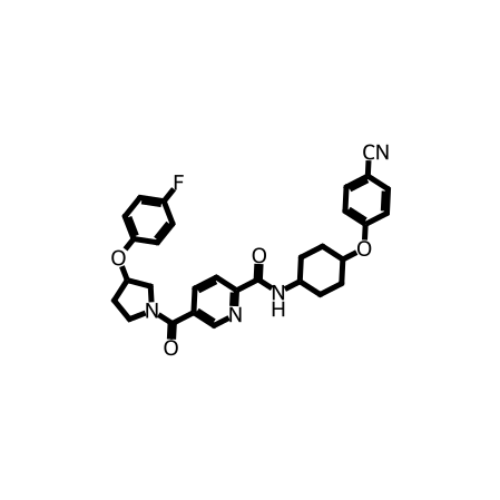 N#Cc1ccc(OC2CCC(NC(=O)c3ccc(C(=O)N4CCC(Oc5ccc(F)cc5)C4)cn3)CC2)cc1